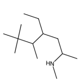 CCC(CC(C)NC)C(C)C(C)(C)C